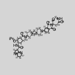 CC(C)Oc1cc2c(cc1NC(=O)c1cnn3cccnc13)CN(C1CCN(CC3(F)CCN(c4ccc5c(c4)C(=O)N(C4CCC(=O)NCOC4)C5=O)CC3)CC1)C2=O